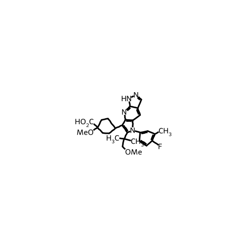 COCC(C)(C)c1c(C2CCC(OC)(C(=O)O)CC2)c2nc3[nH]ncc3cc2n1-c1ccc(F)c(C)c1